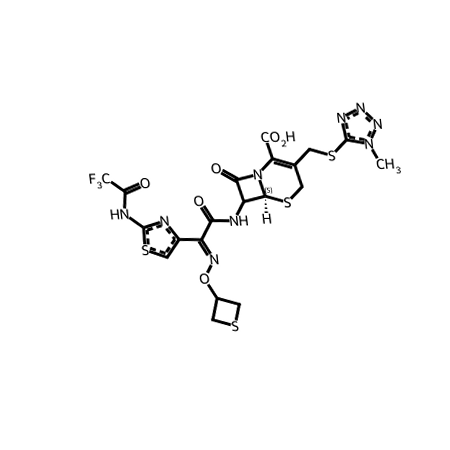 Cn1nnnc1SCC1=C(C(=O)O)N2C(=O)C(NC(=O)C(=NOC3CSC3)c3csc(NC(=O)C(F)(F)F)n3)[C@@H]2SC1